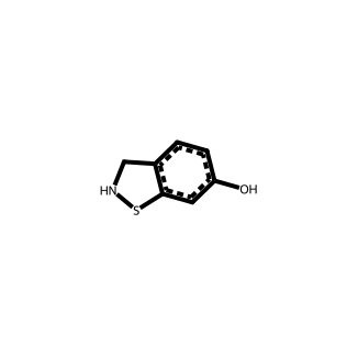 Oc1ccc2c(c1)SNC2